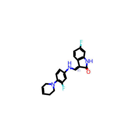 O=C1Nc2cc(F)ccc2/C1=C\Nc1ccc(N2CC=CCC2)c(F)c1